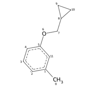 Cc1[c]ccc(OCC2CC2)c1